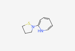 C1=CC=C(N2CCCS2)NC=C1